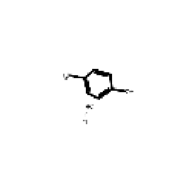 Bc1ccc(O)cc1.Cl.Cl.Cl